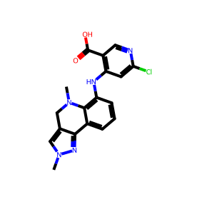 CN1Cc2cn(C)nc2-c2cccc(Nc3cc(Cl)ncc3C(=O)O)c21